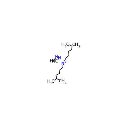 C#N.C#N.CC(C)CCCCN=NCCCCC(C)C